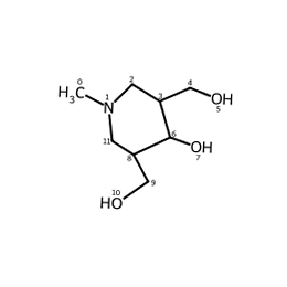 CN1CC(CO)C(O)C(CO)C1